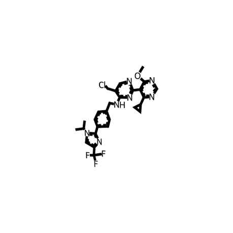 COc1ncnc(C2CC2)c1-c1ncc(CCl)c(NCc2ccc(-c3nc(C(F)(F)F)cn3C(C)C)cc2)n1